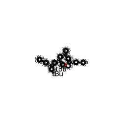 CC(C)(C)C1=Cc2c(n(-c3ccc(-c4ccccc4)cc3)c3ccc(N(c4ccccc4)c4cccc(N(c5ccccc5)c5ccc6c(c5)c5cc(C(C)(C)C)ccc5n6-c5ccc(-c6ccccc6)cc5)c4)cc23)CC1